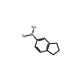 [2H]N([2H])c1ccc2c(c1)CCC2